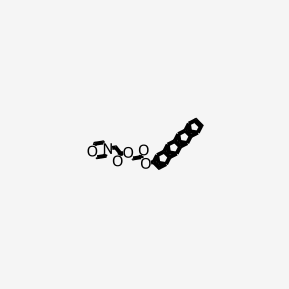 O=C(CN1CCOCC1)OCC(=O)OC1CC2CC1C1C3CC(C21)C1C2CC(C4C5C=CC(C5)C24)C31